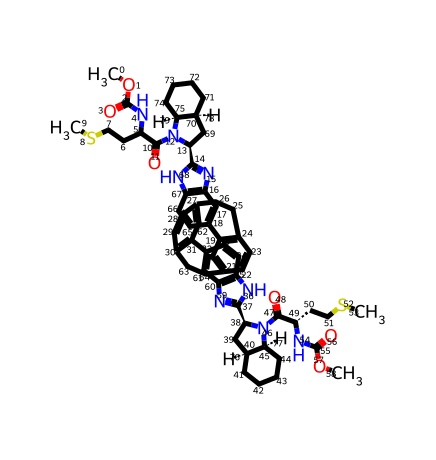 COC(=O)NC(CCSC)C(=O)N1[C@H](c2nc3cc(-c4cc5ccc4CCc4ccc(c(-c6ccc7[nH]c([C@@H]8C[C@@H]9CCCC[C@@H]9N8C(=O)[C@H](CCSC)NC(=O)OC)nc7c6)c4)CC5)ccc3[nH]2)C[C@@H]2CCCC[C@@H]21